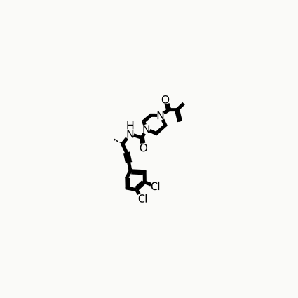 C=C(C)C(=O)N1CCN(C(=O)N[C@@H](C)C#Cc2ccc(Cl)c(Cl)c2)CC1